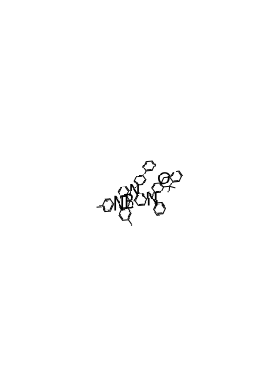 Cc1ccc(N2c3ccc(C)cc3B3c4ccc(N(c5ccccc5)c5ccc6c(c5)C(C)(C)c5ccccc5O6)cc4N(c4ccc(-c5ccccc5)cc4)c4cccc2c43)cc1